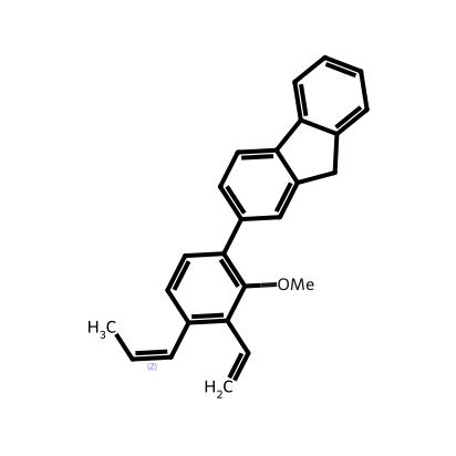 C=Cc1c(/C=C\C)ccc(-c2ccc3c(c2)Cc2ccccc2-3)c1OC